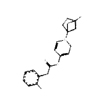 O=C(Cc1ccccc1F)NC1=CCN(C23CCC(F)(C2)C3)C=C1